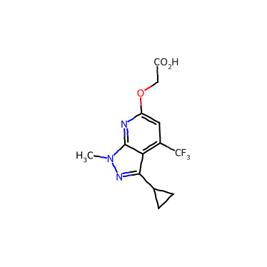 Cn1nc(C2CC2)c2c(C(F)(F)F)cc(OCC(=O)O)nc21